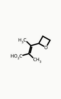 CC(C(=O)O)=C(C)C1CCO1